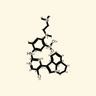 Cc1cc(N(C)CCN(C)C)c([N+](=O)[O-])cc1Nc1ncc(Cl)c(-c2cn3c4c(cccc24)CCC3)n1